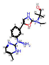 CCN(C1NC=C(c2cccc(N(N)C3N=CC=C(C)N3)c2)O1)C(C)(C)C=O